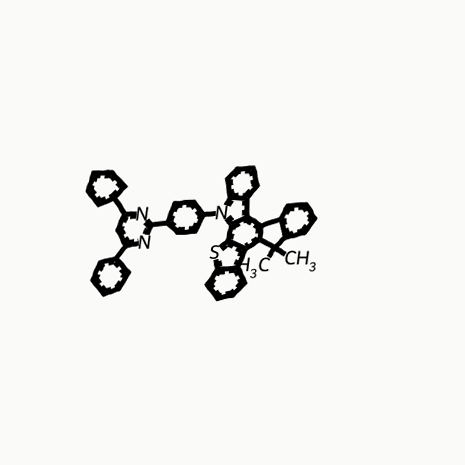 CC1(C)c2ccccc2-c2c1c1c3ccccc3sc1c1c2c2ccccc2n1-c1ccc(-c2nc(-c3ccccc3)cc(-c3ccccc3)n2)cc1